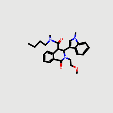 CCCCN(C)C(=O)C1c2ccccc2C(=O)N(CCOC)C1c1cn(C)c2ccccc12